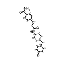 NC(=O)c1ccc(OCC(=O)NC2CCN(Cc3ccc(Br)cc3)CC2)cc1